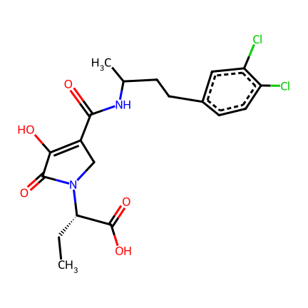 CC[C@@H](C(=O)O)N1CC(C(=O)NC(C)CCc2ccc(Cl)c(Cl)c2)=C(O)C1=O